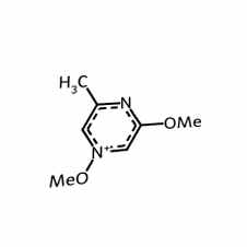 COc1c[n+](OC)cc(C)n1